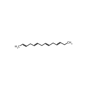 [CH2]C=CCC=CCC=CCC=CCC